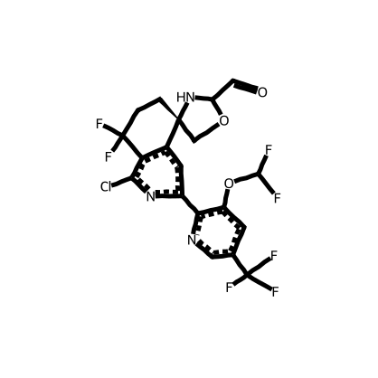 O=CC1N[C@]2(CCC(F)(F)c3c2cc(-c2ncc(C(F)(F)F)cc2OC(F)F)nc3Cl)CO1